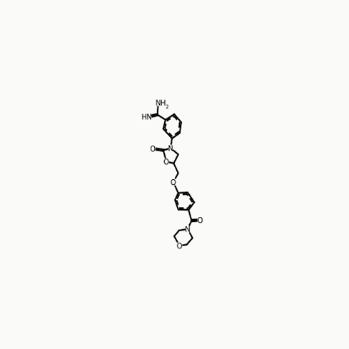 N=C(N)c1cccc(N2CC(COc3ccc(C(=O)N4CCOCC4)cc3)OC2=O)c1